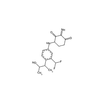 CC(O)C(C)c1ccc(NC2CCC(=O)C(=N)C2=O)cc1C(F)F